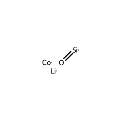 O=[Si].[Co].[Li]